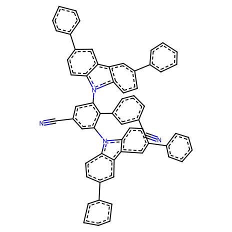 N#Cc1cccc(-c2c(-n3c4ccc(-c5ccccc5)cc4c4cc(-c5ccccc5)ccc43)cc(C#N)cc2-n2c3ccc(-c4ccccc4)cc3c3cc(-c4ccccc4)ccc32)c1